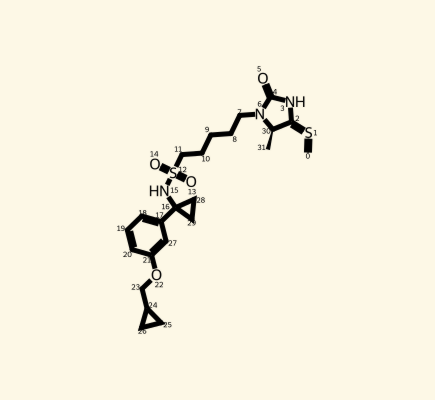 C=S=C1NC(=O)N(CCCCCS(=O)(=O)NC2(c3cccc(OCC4CC4)c3)CC2)[C@@H]1C